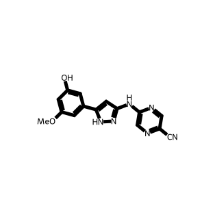 COc1cc(O)cc(-c2cc(Nc3cnc(C#N)cn3)n[nH]2)c1